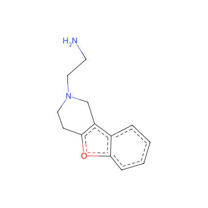 NCCN1CCc2oc3ccccc3c2C1